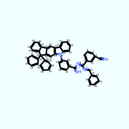 N#Cc1cccc(C(=N/C(=N)c2cccc(-n3c4ccccc4c4cc5c(cc43)C(c3ccccc3)(c3ccccc3)c3ccccc3-5)c2)/N=C/c2ccccc2)c1